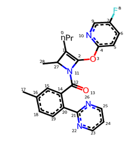 CCCC1=C(Oc2ccc(F)cn2)N(C(=O)c2cc(C)ccc2-c2ncccn2)C1C